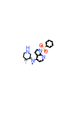 C[C@@H]1CCNC[C@@H]1N(C)c1ccnc2c1ccn2S(=O)(=O)c1ccccc1